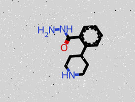 NNC(=O)c1ccccc1C1CCNCC1